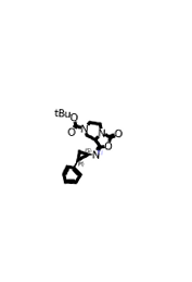 CC(C)(C)OC(=O)N1CCN2C(=O)O/C(=N/[C@H]3C[C@@H]3c3ccccc3)C2C1